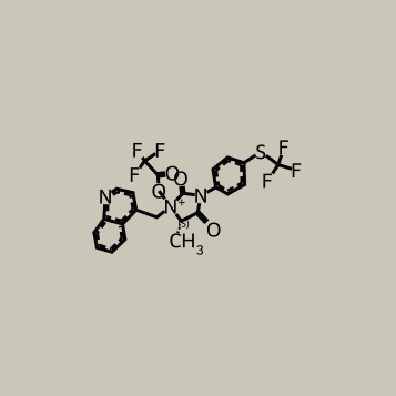 C[C@H]1C(=O)N(c2ccc(SC(F)(F)F)cc2)C(=O)[N+]1(Cc1ccnc2ccccc12)OC(=O)C(F)(F)F